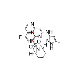 Cc1cc(Nc2cc3ncccc3c(NC3C[C@@H]4CCC[C@@H](C3)N4S(=O)(=O)c3cncc(F)c3)n2)n[nH]1